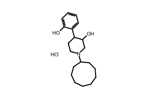 Cl.Oc1ccccc1C1CCN(C2CCCCCCCC2)CC1O